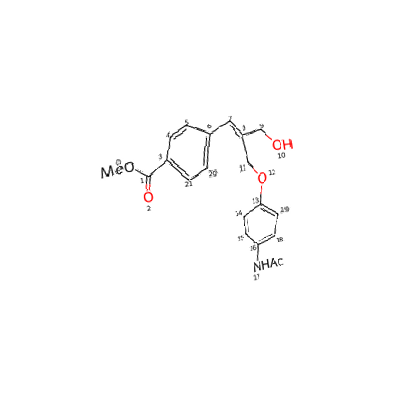 COC(=O)c1ccc(C=C(CO)COc2ccc(NC(C)=O)cc2)cc1